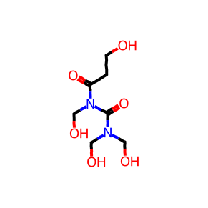 O=C(CCO)N(CO)C(=O)N(CO)CO